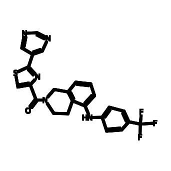 O=C(c1csc(-c2cncnc2)n1)N1CCc2c(cccc2Nc2ccc(C(F)(F)F)cc2)C1